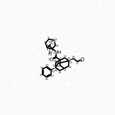 O=C(N[C@@H]1CN2CCC1CC2)C12CC3C[C@@](CCCl)(C1)C[C@](c1ccccc1)(C3)C2